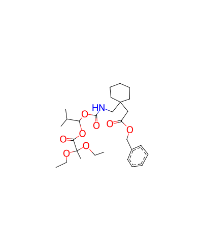 CCOC(C)(OCC)C(=O)OC(OC(=O)NCC1(CC(=O)OCc2ccccc2)CCCCC1)C(C)C